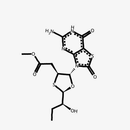 CC[C@H](O)[C@@H]1O[C@@H](n2c(=O)sc3c(=O)[nH]c(N)nc32)[C@H](CC(=O)OC)S1